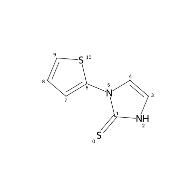 S=c1[nH]ccn1-c1cccs1